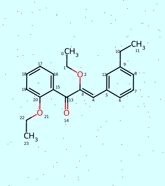 CCOC(=Cc1cccc(CC)c1)C(=O)c1ccccc1OCC